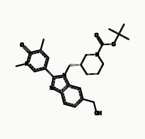 Cc1cc(-c2nc3ccc(CO)cc3n2C[C@H]2CCCN(C(=O)OC(C)(C)C)C2)cn(C)c1=O